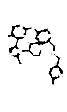 Cc1ncc(-c2nc(Nc3ccc(CNCc4ccc(Cl)nc4)nc3)ncc2F)n1C1CCOCC1